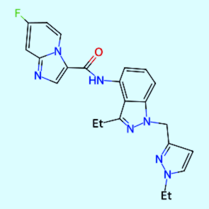 CCc1nn(Cc2ccn(CC)n2)c2cccc(NC(=O)c3cnc4cc(F)ccn34)c12